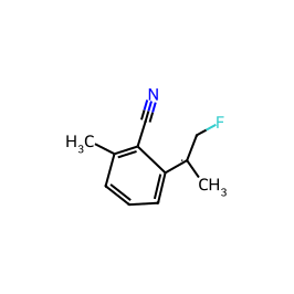 C[C](CF)c1cccc(C)c1C#N